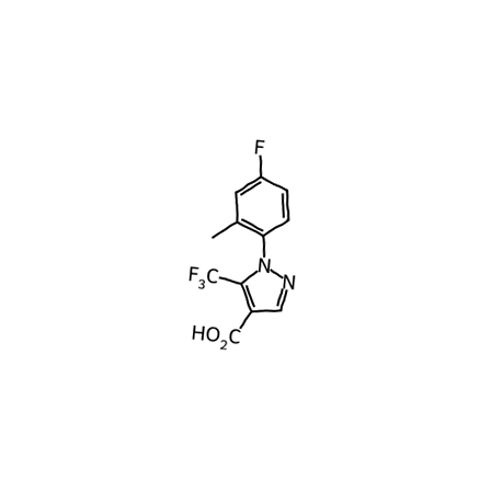 Cc1cc(F)ccc1-n1ncc(C(=O)O)c1C(F)(F)F